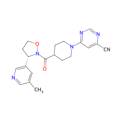 Cc1cncc([C@@H]2CCON2C(=O)C2CCN(c3cc(C#N)ncn3)CC2)c1